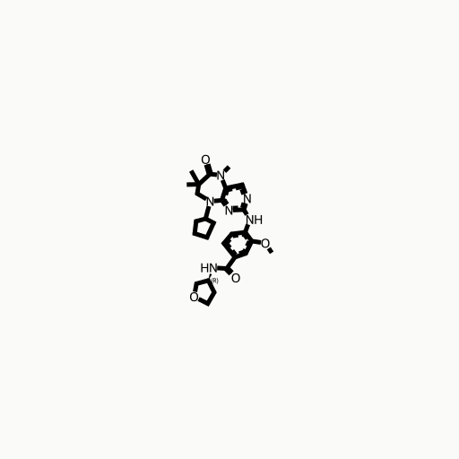 COc1cc(C(=O)N[C@@H]2CCOC2)ccc1Nc1ncc2c(n1)N(C1CCCC1)CC(C)(C)C(=O)N2C